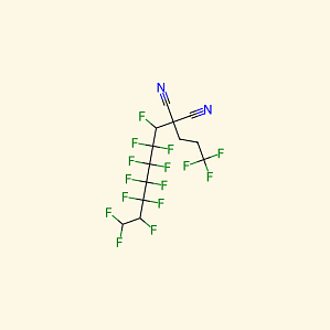 N#CC(C#N)(CCC(F)(F)F)C(F)C(F)(F)C(F)(F)C(F)(F)C(F)(F)C(F)C(F)F